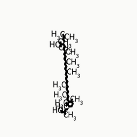 CC(C)=CC[C@@H](/C=C/C(C)=C/C=C/C(C)=C/C=C/C(C)=C/C=C/C=C(C)/C=C/C=C(C)/C=C/C1=C(C)CC[C@H](C/C=C(\C)CO)C1(C)C)C(C)(C)O